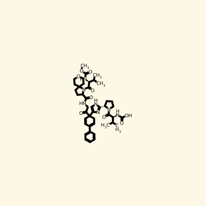 COC(=O)N[C@H](C(=O)N1C(C(=O)NCC(=O)C2(c3c[nH]c([C@@H]4CCCN4C(=O)[C@@H](NC(=O)O)C(C)C)n3)C=CC(c3ccccc3)=CC2)CCC12CCOCC2)C(C)C